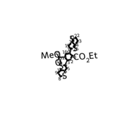 CCOC(=O)c1cc(-c2cc3sccc3s2)c(C(=O)OC)cc1-c1cc2sccc2s1